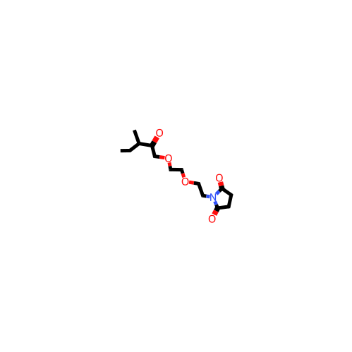 CCC(C)C(=O)COCCOCCN1C(=O)CCC1=O